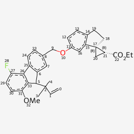 C=CC(C)(C)C1c2cc(COc3ccc4c(c3)[C@]3(CC4)C[C@H]3C(=O)OCC)ccc2-c2c(F)ccc(OC)c21